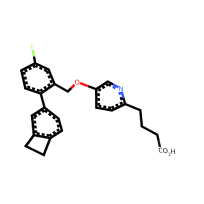 O=C(O)CCCc1ccc(OCc2cc(F)ccc2-c2ccc3c(c2)CC3)cn1